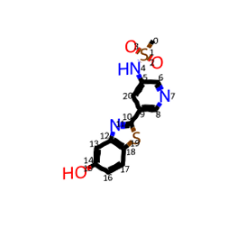 CS(=O)(=O)Nc1cncc(-c2nc3cc(O)ccc3s2)c1